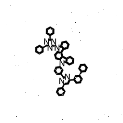 c1ccc(-c2cccc(-c3cc(-c4ccccc4)nc(-c4cccc(-n5c6ccccc6c6c7c8ccccc8n(-c8nc(-c9ccccc9)nc(-c9ccccc9)n8)c7ccc65)c4)n3)c2)cc1